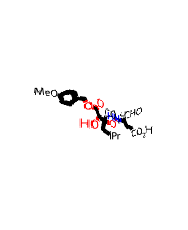 COc1ccc(COC(=O)C(O)C(CC(C)C)(ON[C@@H](C=O)CCC(=O)O)C(=O)O)cc1